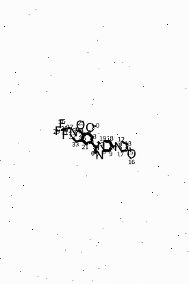 COc1cc(-c2cnc3cc(N4CCC(OC)C4)ccn23)cc2c1C(=O)N(CC(F)(F)F)CC2